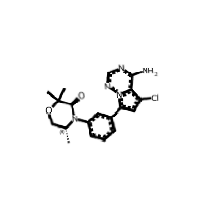 C[C@@H]1COC(C)(C)C(=O)N1c1cccc(-c2cc(Cl)c3c(N)ncnn23)c1